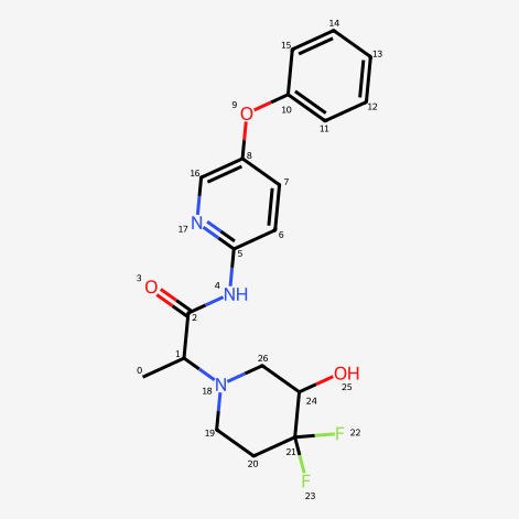 CC(C(=O)Nc1ccc(Oc2ccccc2)cn1)N1CCC(F)(F)C(O)C1